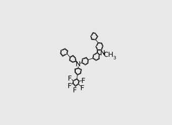 Cn1c2ccc(-c3ccccc3)cc2c2cc(-c3ccc(N(c4ccc(-c5ccccc5)cc4)c4ccc(-c5c(F)c(F)c(F)c(F)c5F)cc4)cc3)ccc21